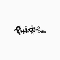 Cc1cccn2c(C(C)(C)NC(=O)[C@H]3C[C@@H]4CN(C(=O)OC(C)(C)C)C[C@@H]4C3)ncc12